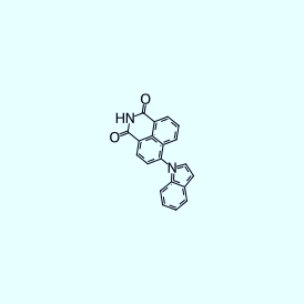 O=C1NC(=O)c2ccc(-n3ccc4ccccc43)c3cccc1c23